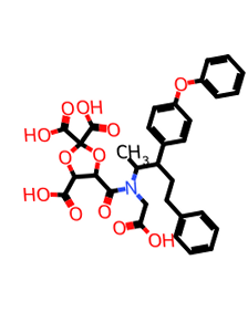 CC(C(CCc1ccccc1)c1ccc(Oc2ccccc2)cc1)N(CC(=O)O)C(=O)C1OC(C(=O)O)(C(=O)O)OC1C(=O)O